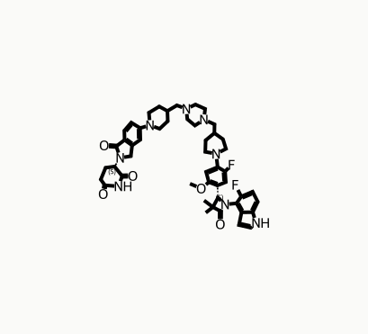 COc1cc(N2CCC(CN3CCN(CC4CCN(c5ccc6c(c5)CN([C@H]5CCC(=O)NC5=O)C6=O)CC4)CC3)CC2)c(F)cc1[C@@H]1N(c2c(F)ccc3[nH]ccc23)C(=O)C1(C)C